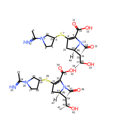 CC(=N)N1CC[C@H](SC2=C(C(=O)O)N3C(=O)[C@H]([C@@H](C)O)[C@H]3C2)C1.CC(=N)N1CC[C@H](SC2=C(C(=O)O)N3C(=O)[C@H]([C@@H](C)O)[C@H]3C2)C1